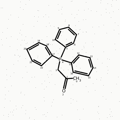 CC(=O)C[P](c1ccccc1)(c1ccccc1)c1ccccc1